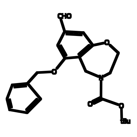 CC(C)(C)OC(=O)N1CCOc2cc(C=O)cc(OCc3ccccc3)c2C1